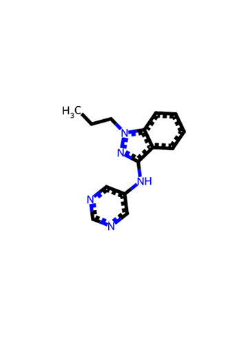 CCCn1nc(Nc2cncnc2)c2ccccc21